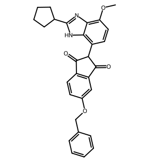 COc1ccc(C2C(=O)c3ccc(OCc4ccccc4)cc3C2=O)c2[nH]c(C3CCCC3)nc12